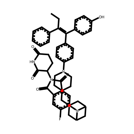 CCC(=C(c1ccc(O)cc1)c1ccc(N2CCC(CN3CC4CC(C3)N4c3cc4c(cc3F)C(=O)N(C3CCC(=O)NC3=O)C4=O)CC2)cc1)c1ccccc1